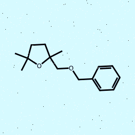 CC1(C)CCC(C)(COCc2ccccc2)O1